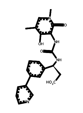 Cc1cn(C)c(=O)c(NC(=O)N[C@@H](CC(=O)O)c2cccc(-c3cccnc3)c2)c1O